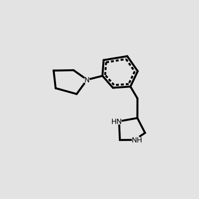 c1cc(CC2CNCN2)cc(N2CCCC2)c1